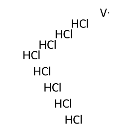 Cl.Cl.Cl.Cl.Cl.Cl.Cl.Cl.[V]